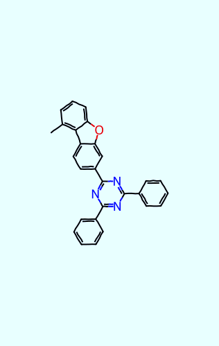 Cc1cccc2oc3cc(-c4nc(-c5ccccc5)nc(-c5ccccc5)n4)ccc3c12